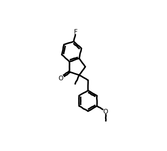 COc1cccc(CC2(C)Cc3cc(F)ccc3C2=O)c1